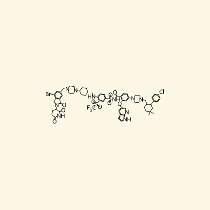 CC1(C)CCC(CN2CCN(c3ccc(C(=O)NS(=O)(=O)c4ccc(NC[C@H]5CC[C@H](N6CCN(Cc7cc(Br)c8c(c7)C(=O)N(C7CCC(=O)NC7=O)C8)CC6)CC5)c(S(=O)(=O)C(F)(F)F)c4)c(Oc4cnc5[nH]ccc5c4)c3)CC2)=C(c2ccc(Cl)cc2)C1